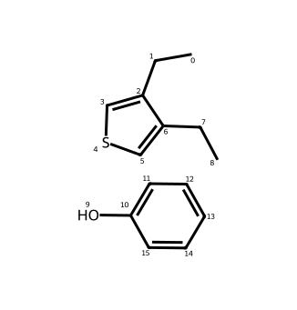 CCc1cscc1CC.Oc1ccccc1